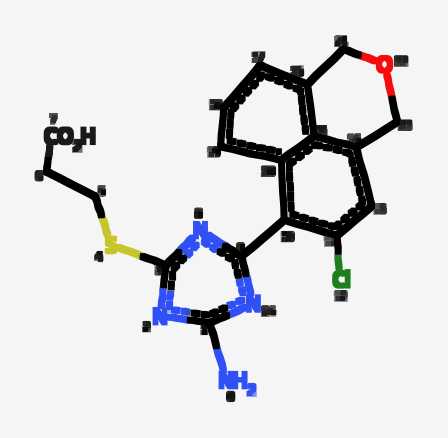 Nc1nc(SCCC(=O)O)nc(-c2c(Cl)cc3c4c(cccc24)COC3)n1